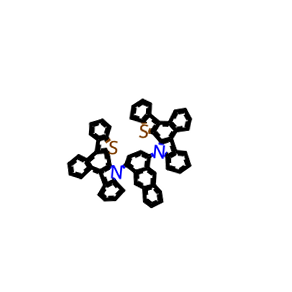 c1ccc2cc3c(-n4c5ccccc5c5c6ccccc6c6c7ccccc7sc6c54)ccc(-n4c5ccccc5c5c6ccccc6c6c7ccccc7sc6c54)c3cc2c1